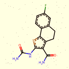 NC(=O)Nc1sc2c(c1C(N)=O)CCc1cc(F)ccc1-2